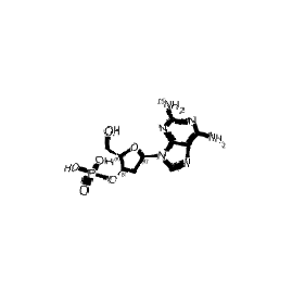 Nc1nc([15NH2])nc2c1ncn2[C@H]1C[C@H](OP(=O)(O)O)[C@@H](CO)O1